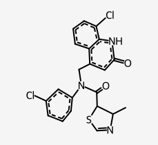 CC1N=CSC1C(=O)N(Cc1cc(=O)[nH]c2c(Cl)cccc12)c1cccc(Cl)c1